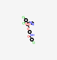 O=C(Nc1ccc(OCC2COC(Cn3ccnc3)(c3ccc(Cl)cc3Cl)O2)cc1)c1ccc(Cl)cc1